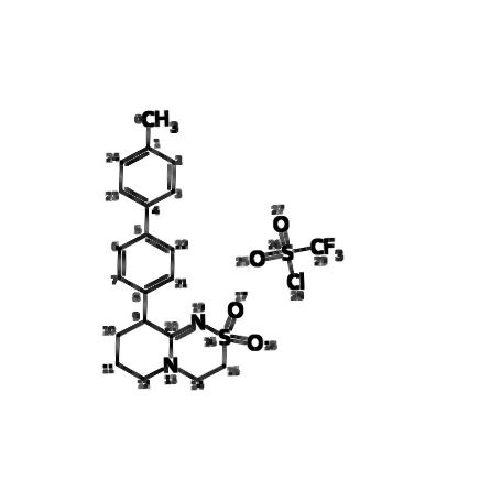 Cc1ccc(-c2ccc(C3CCCN4CCS(=O)(=O)N=C34)cc2)cc1.O=S(=O)(Cl)C(F)(F)F